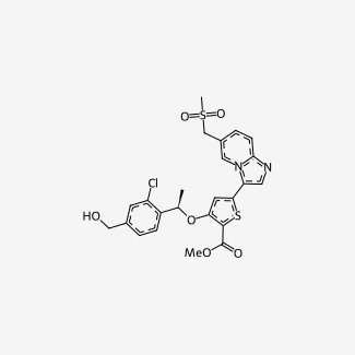 COC(=O)c1sc(-c2cnc3ccc(CS(C)(=O)=O)cn23)cc1O[C@H](C)c1ccc(CO)cc1Cl